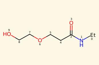 CCNC(=O)CCOCCO